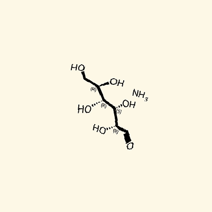 N.O=C[C@H](O)[C@@H](O)[C@H](O)[C@H](O)CO